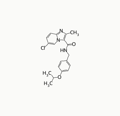 Cc1nc2ccc(Cl)cn2c1C(=O)NCc1ccc(OC(C)C)cc1